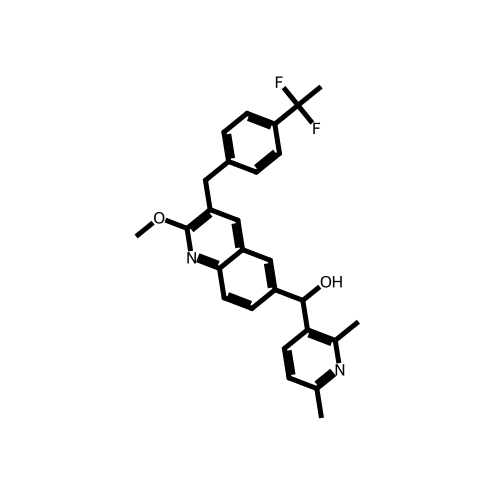 COc1nc2ccc(C(O)c3ccc(C)nc3C)cc2cc1Cc1ccc(C(C)(F)F)cc1